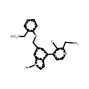 CCOC(=O)Cc1ccccc1OCc1cc(-c2ccnc(CN)c2F)c2ccn(C(C)C)c2c1